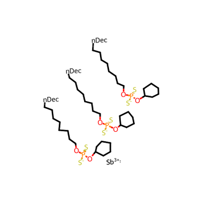 CCCCCCCCCCCCCCCCCCOP(=S)([S-])OC1CCCCC1.CCCCCCCCCCCCCCCCCCOP(=S)([S-])OC1CCCCC1.CCCCCCCCCCCCCCCCCCOP(=S)([S-])OC1CCCCC1.[Sb+3]